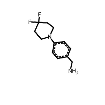 NCc1ccc(N2CCC(F)(F)CC2)cc1